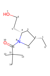 CC[C@H]1C[C@@H](CCO)N(C(=O)C(C)(C)C)C1